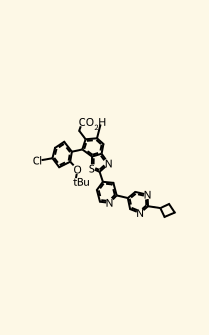 Cc1cc2nc(-c3ccnc(-c4cnc(C5CCC5)nc4)c3)sc2c(-c2ccc(Cl)cc2OC(C)(C)C)c1CC(=O)O